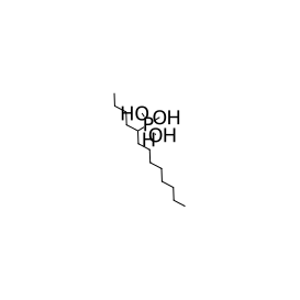 CCCCCCCCC(CCCC)[PH](O)(O)O